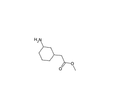 COC(=O)CC1CCCC(N)C1